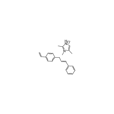 C=Cc1ccc(CC=Cc2ccccc2)cc1.Cc1c[nH]c(C)[n+]1C.[Cl-]